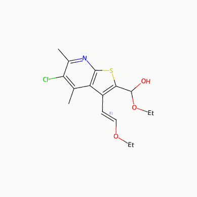 CCO/C=C/c1c(C(O)OCC)sc2nc(C)c(Cl)c(C)c12